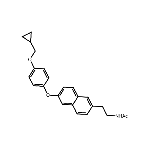 CC(=O)NCCc1ccc2cc(Oc3ccc(OCC4CC4)cc3)ccc2c1